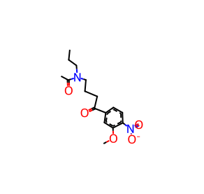 CCCN(CCCC(=O)c1ccc([N+](=O)[O-])c(OC)c1)C(C)=O